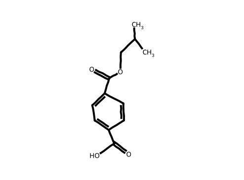 CC(C)COC(=O)c1ccc(C(=O)O)cc1